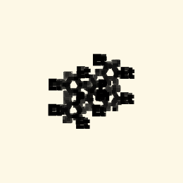 CCc1cc(CC)cc(P(c2cc(CC)cc(CC)c2)C(C)C(C)(C(C)C)C(C)P(c2cc(CC)cc(CC)c2)c2cc(CC)cc(CC)c2)c1